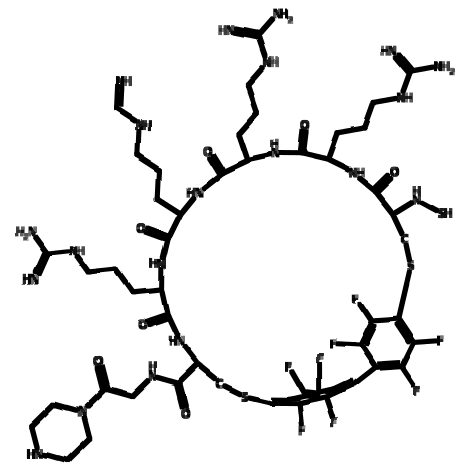 N=CNCCCC1NC(=O)C(CCCNC(=N)N)NC(=O)C(CCCNC(=N)N)NC(=O)C(NS)CSc2c(F)c(F)c(c(F)c2F)-c2c(F)c(F)c(c(F)c2F)SCC(C(=O)NCC(=O)N2CCNCC2)NC(=O)C(CCCNC(=N)N)NC1=O